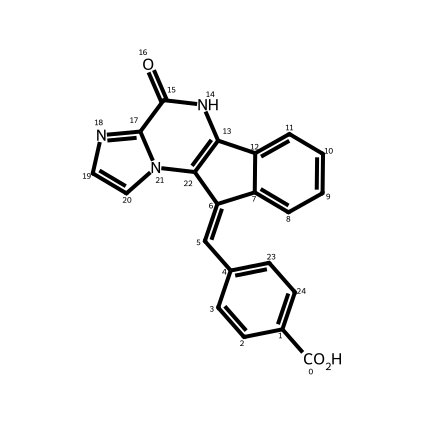 O=C(O)c1ccc(C=c2c3ccccc3c3[nH]c(=O)c4nccn4c23)cc1